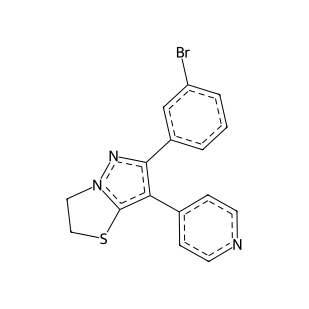 Brc1cccc(-c2nn3c(c2-c2ccncc2)SCC3)c1